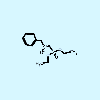 CCOP(=O)(C[S+]([O-])Cc1ccccc1)OCC